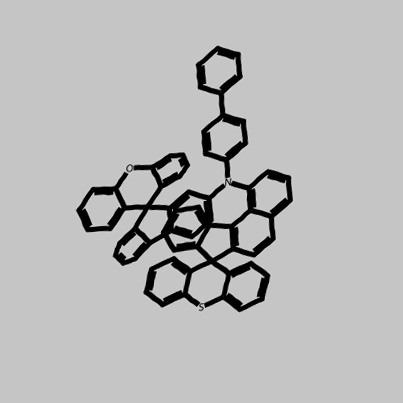 c1ccc(-c2ccc(N(c3ccc4c(c3)C3(c5ccccc5Oc5ccccc53)c3ccccc3-4)c3cccc4ccc5c(c34)-c3ccccc3C53c4ccccc4Sc4ccccc43)cc2)cc1